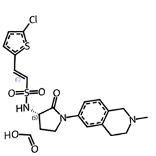 CN1CCc2cc(N3CC[C@H](NS(=O)(=O)/C=C/c4ccc(Cl)s4)C3=O)ccc2C1.O=CO